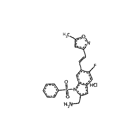 Cc1cc(C=Cc2cc3c(cc2F)cc(CN)n3S(=O)(=O)c2ccccc2)no1.Cl